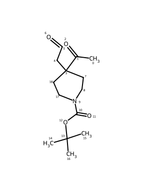 CC(=O)C1(CC=O)CCN(C(=O)OC(C)(C)C)CC1